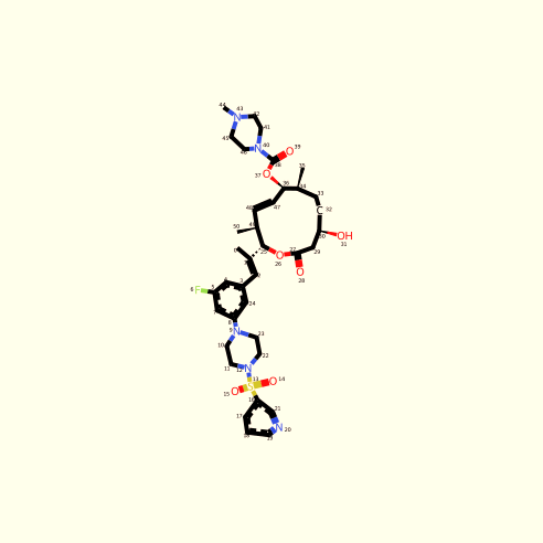 C/C(=C\c1cc(F)cc(N2CCN(S(=O)(=O)c3cccnc3)CC2)c1)[C@H]1OC(=O)C[C@H](O)CC[C@H](C)[C@H](OC(=O)N2CCN(C)CC2)/C=C/[C@@H]1C